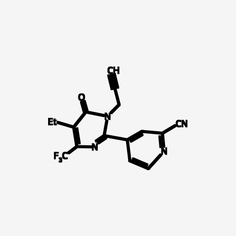 C#CCn1c(-c2ccnc(C#N)c2)nc(C(F)(F)F)c(CC)c1=O